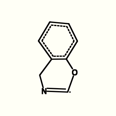 [C]1=NCc2ccccc2O1